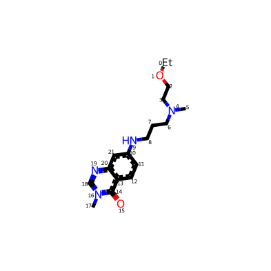 CCOCCN(C)CCCNc1ccc2c(=O)n(C)cnc2c1